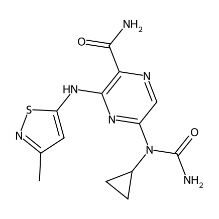 Cc1cc(Nc2nc(N(C(N)=O)C3CC3)cnc2C(N)=O)sn1